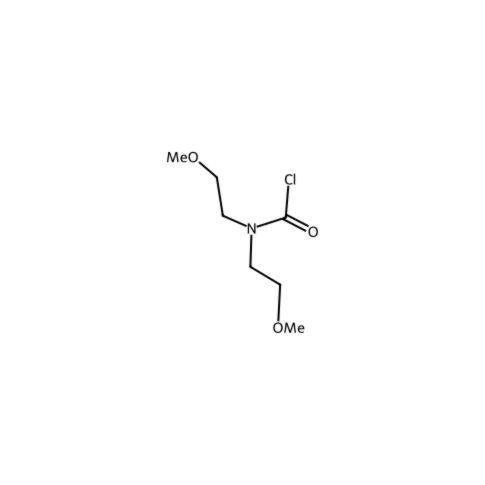 COCCN(CCOC)C(=O)Cl